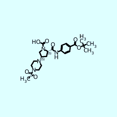 CC(C)(C)OC(=O)c1ccc(NC(=O)[C@@H]2C[C@H](N3CCN(S(C)(=O)=O)CC3)CN2C(=O)O)cc1